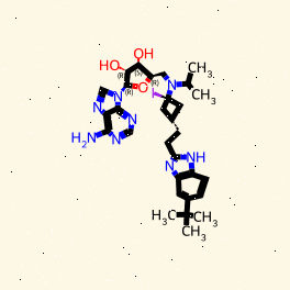 CC(C)N(C[C@H]1O[C@@H](n2cnc3c(N)ncnc32)[C@H](O)[C@@H]1O)[C@]1(I)C[C@H](CCc2nc3cc(C(C)(C)C)ccc3[nH]2)C1